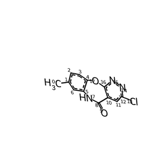 Cc1ccc2c(c1)NC(=O)c1cc(Cl)nnc1O2